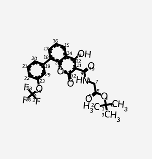 CC(C)(C)OC(=O)CNC(=O)c1c(O)c2cccc(-c3cccc(OC(F)(F)F)c3)c2oc1=O